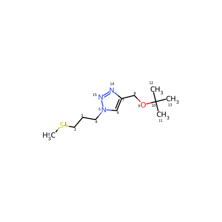 CSCCCn1cc(COC(C)(C)C)nn1